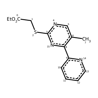 CCOC(=O)CSc1ncc(C)c(-c2ccccn2)n1